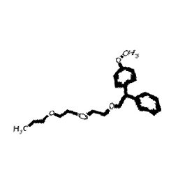 CCCOCCOCCOC=C(c1ccccc1)c1ccc(OC)cc1